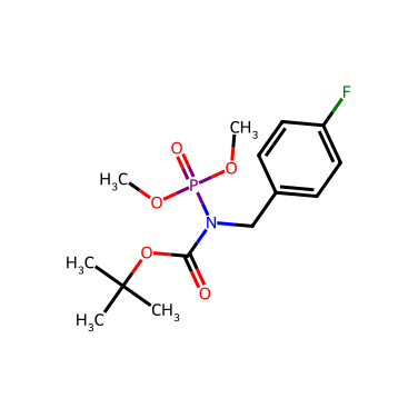 COP(=O)(OC)N(Cc1ccc(F)cc1)C(=O)OC(C)(C)C